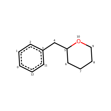 c1ccc(CC2CCCCO2)cc1